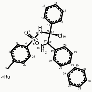 Cc1ccc(S(=O)(=O)N[C@](Cl)(c2ccccc2)[C@H](N)c2ccccc2)cc1.[Ru].c1ccccc1